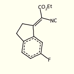 [C-]#[N+]/C(C(=O)OCC)=C1/CCc2ccc(F)cc21